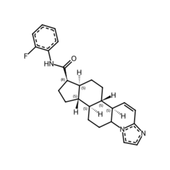 O=C(Nc1ccccc1F)[C@@H]1CC[C@H]2[C@@H]3CCC4[C@H](C=Cc5nccn54)[C@H]3CC[C@@H]21